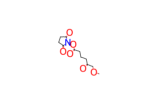 COCC(=O)CCCC(=O)ON1C(=O)CCC1=O